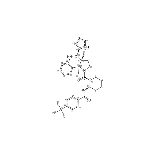 O=C(N[C@@H]1CCCC[C@@H]1C(=O)N1CC[C@H]2[C@H](c3ncc[nH]3)Nc3ccccc3[C@@H]21)c1ccc(C(F)(F)F)cc1